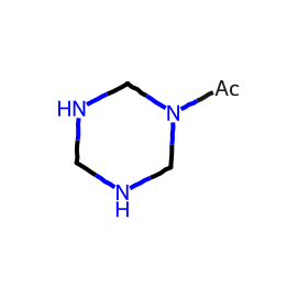 CC(=O)N1CNCNC1